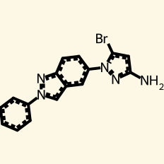 Nc1cc(Br)n(-c2ccc3nn(-c4ccccc4)cc3c2)n1